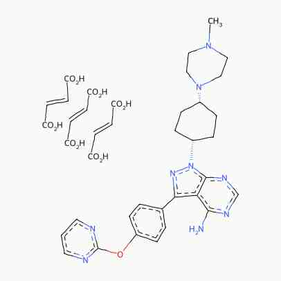 CN1CCN([C@H]2CC[C@@H](n3nc(-c4ccc(Oc5ncccn5)cc4)c4c(N)ncnc43)CC2)CC1.O=C(O)C=CC(=O)O.O=C(O)C=CC(=O)O.O=C(O)C=CC(=O)O